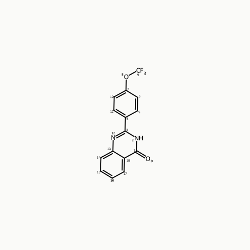 O=c1[nH]c(-c2ccc(OC(F)(F)F)cc2)nc2ccccc12